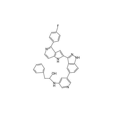 OC(Cc1ccccc1)Nc1cncc(-c2ccc3[nH]nc(-c4cc5c(-c6ccc(F)cc6)nccc5[nH]4)c3c2)c1